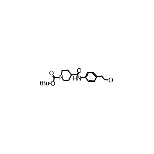 CC(C)(C)OC(=O)N1CCC(C(=O)Nc2ccc(CC[O])cc2)CC1